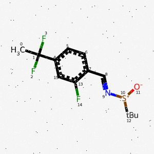 CC(F)(F)c1ccc(C=N[S+]([O-])C(C)(C)C)c(F)c1